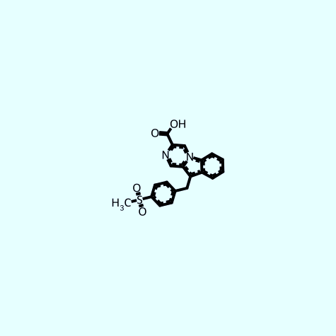 CS(=O)(=O)c1ccc(Cc2c3ccccc3n3cc(C(=O)O)ncc23)cc1